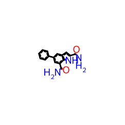 NC(=O)c1cc2cc(-c3ccccc3)cc(C(N)=O)c2[nH]1